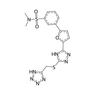 CN(C)S(=O)(=O)c1cccc(-c2ccc(-c3nnc(SCc4nnn[nH]4)[nH]3)o2)c1